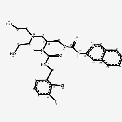 CN(C(=O)NCc1cccc(F)c1Cl)[C@H](COC(=O)Nc1cc2ccccc2cn1)CN(CCO)CCO